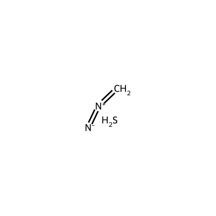 C=[N+]=[N-].S